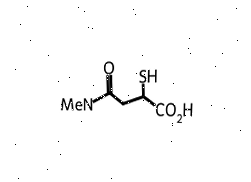 CNC(=O)CC(S)C(=O)O